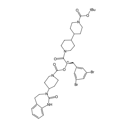 CC(C)(C)OC(=O)N1CCC(C2CCN(C(=O)[C@@H](Cc3cc(Br)cc(Br)c3)OC(=O)N3CCC(N4CCc5ccccc5NC4=O)CC3)CC2)CC1